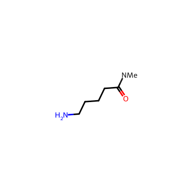 CNC(=O)CCCCN